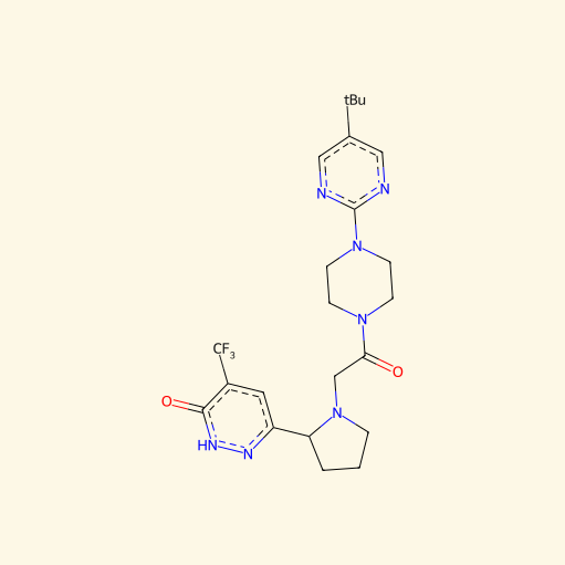 CC(C)(C)c1cnc(N2CCN(C(=O)CN3CCCC3c3cc(C(F)(F)F)c(=O)[nH]n3)CC2)nc1